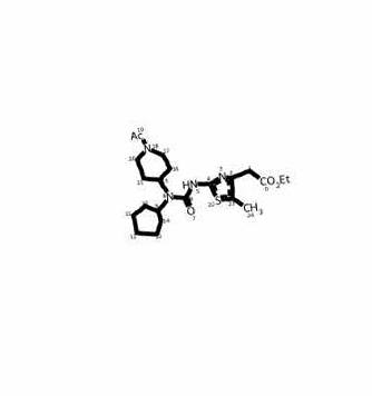 CCOC(=O)Cc1nc(NC(=O)N(C2CCCCC2)C2CCN(C(C)=O)CC2)sc1C